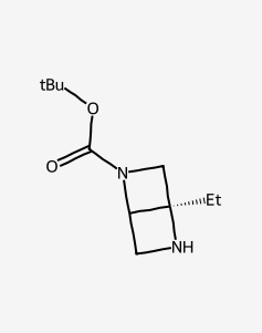 CC[C@@]12CN(C(=O)OC(C)(C)C)C1CN2